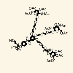 CC(=O)N[C@H]1[C@H](OCCOCCOCCOc2cc(C(=O)N[C@H]3CC[C@H](OP(OCCC#N)N(C(C)C)C(C)C)CC3)cc(OCCOCCOCCO[C@@H]3O[C@H](COC(C)=O)[C@H](OC(C)=O)[C@H](OC(C)=O)[C@H]3NC(C)=O)c2OCCOCCOCCO[C@@H]2O[C@H](COC(C)=O)[C@H](OC(C)=O)[C@H](OC(C)=O)[C@H]2NC(C)=O)O[C@H](COC(C)=O)[C@H](OC(C)=O)[C@@H]1OC(C)=O